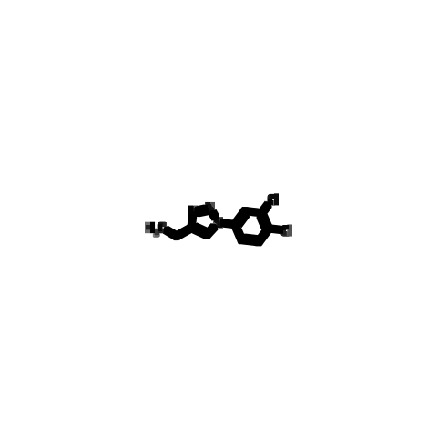 CCc1cn(-c2ccc(Cl)c(Cl)c2)nn1